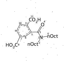 CCCCCCCCN(CCCCCCCC)C(=O)c1cc(C(=O)O)ccc1C(=O)O